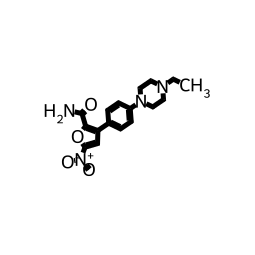 CCN1CCN(c2ccc(-c3cc([N+](=O)[O-])oc3C(N)=O)cc2)CC1